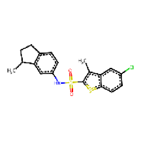 Cc1c(S(=O)(=O)Nc2ccc3c(c2)C(C)CC3)sc2ccc(Cl)cc12